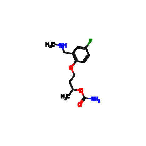 CNCc1cc(F)ccc1OCCC(C)OC(N)=O